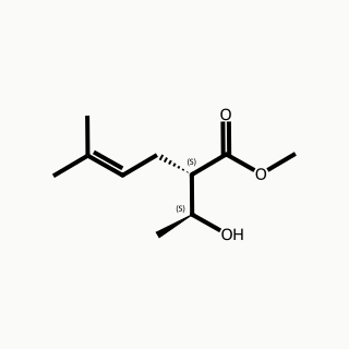 COC(=O)[C@@H](CC=C(C)C)[C@H](C)O